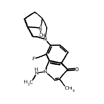 CNn1cc(C)c(=O)c2ccc(N3CC4CCC(C3)N4C)c(F)c21